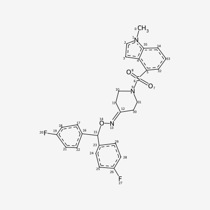 Cn1ccc2c(S(=O)(=O)N3CCC(=NOC(c4ccc(F)cc4)c4ccc(F)cc4)CC3)cccc21